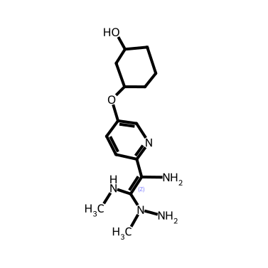 CN/C(=C(/N)c1ccc(OC2CCCC(O)C2)cn1)N(C)N